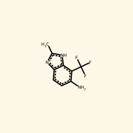 Cc1nc2ccc(N)c(C(F)(F)F)c2[nH]1